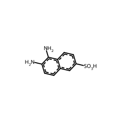 Nc1ccc2cc(S(=O)(=O)O)ccc2c1N